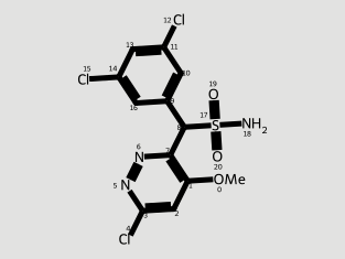 COc1cc(Cl)nnc1C(c1cc(Cl)cc(Cl)c1)S(N)(=O)=O